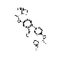 CC(Oc1ccc2c(c1)C(=O)c1cc(OC(C)[C@H]3CCN3)ccc1-2)[C@H]1CCN1